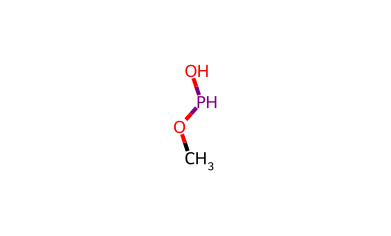 COPO